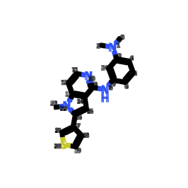 CN(C)c1cccc(Nc2nccc3c2cc(-c2ccsc2)n3C)c1